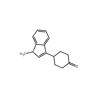 Cn1cc(C2CCC(=O)CC2)c2ccccc21